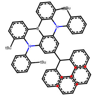 CC(C)(C)c1ccccc1N1c2cc(C(c3ccccc3-c3ccccc3)c3ccccc3-c3ccccc3)cc3c2B(c2cccc(C(C)(C)C)c21)c1cccc(C(C)(C)C)c1N3c1ccccc1C(C)(C)C